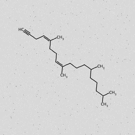 C#CCC=C(C)CCC=C(C)CCCC(C)CCCC(C)C